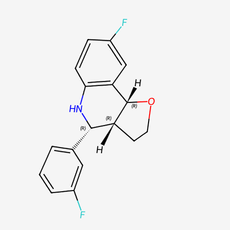 Fc1cccc([C@@H]2Nc3ccc(F)cc3[C@@H]3OCC[C@H]23)c1